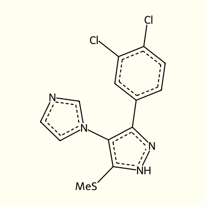 CSc1[nH]nc(-c2ccc(Cl)c(Cl)c2)c1-n1ccnc1